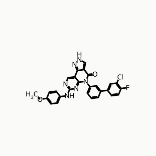 COc1ccc(Nc2ncc3c4n[nH]cc4c(=O)n(-c4cccc(-c5ccc(F)c(Cl)c5)c4)c3n2)cc1